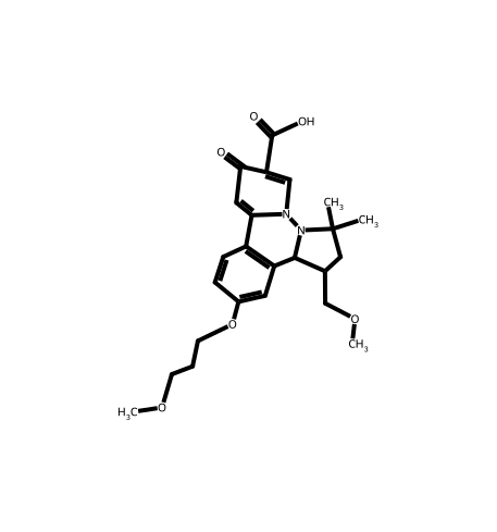 COCCCOc1ccc2c(c1)C1C(COC)CC(C)(C)N1n1cc(C(=O)O)c(=O)cc1-2